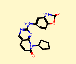 O=c1[nH]c2cc(Nc3ncc4ccc(=O)n(C5CCCC5)c4n3)ccc2o1